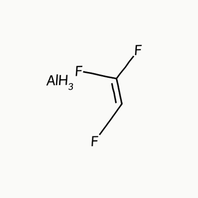 FC=C(F)F.[AlH3]